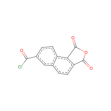 O=C(Cl)c1ccc2c3c(ccc2c1)C(=O)OC3=O